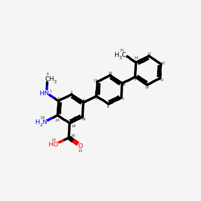 CNc1cc(-c2ccc(-c3ccccc3C)cc2)cc(C(=O)O)c1N